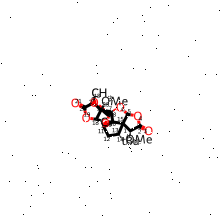 CO[C@H]1C(=O)OC2O[C@]34C(=O)OC5C[C@@H](C(C)(C)C)C21C53CC1OC(=O)[C@@H](C)[C@@]14OC